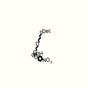 CCCCCCCCCCCCCCCOCCCOP(=O)(O)Oc1ccc([N+](=O)[O-])cc1